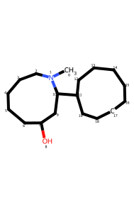 CN1CCCCCC(O)CC1C1CCCCCCCC1